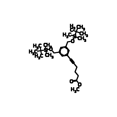 COC(=O)CCCC#Cc1cc(CO[Si](C)(C)C(C)(C)C)cc(CO[Si](C)(C)C(C)(C)C)c1